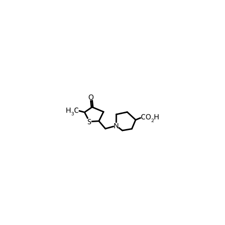 CC1SC(CN2CCC(C(=O)O)CC2)CC1=O